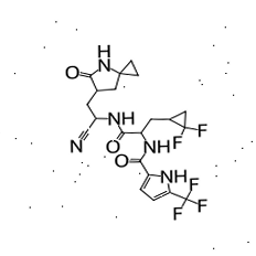 N#CC(CC1CC2(CC2)NC1=O)NC(=O)C(CC1CC1(F)F)NC(=O)c1ccc(C(F)(F)F)[nH]1